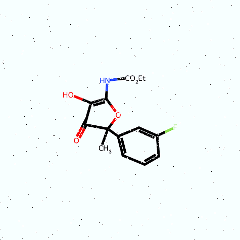 CCOC(=O)NC1=C(O)C(=O)C(C)(c2cccc(F)c2)O1